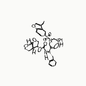 Cc1coc2ccc(S(=O)(=O)N(CC(C)C)C[C@@H](O)[C@H](Cc3ccccc3)NC(=O)OC3CO[C@H]4OCC[C@@H]34)cc12